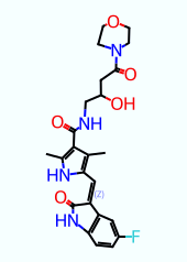 Cc1[nH]c(/C=C2\C(=O)Nc3ccc(F)cc32)c(C)c1C(=O)NCC(O)CC(=O)N1CCOCC1